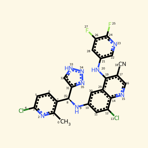 Cc1nc(Cl)ccc1[C@H](Nc1cc(Cl)c2ncc(C#N)c(Nc3cnc(F)c(F)c3)c2c1)c1c[nH]nn1